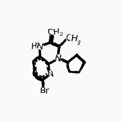 C=C1Nc2ccc(Br)nc2N(C2CCCC2)C1C